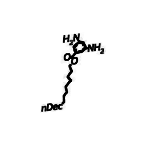 CCCCCCCCCCCCCCCCCCOC(=O)c1cc(N)cc(N)c1